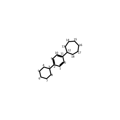 c1cc(C2CCCCC2)ccc1C1CCCCCC1